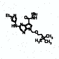 CCn1cc(Nc2cnc3c(n2)c(C(=O)NC(C)(C)C)cn3COCC[Si](C)(C)C)cn1